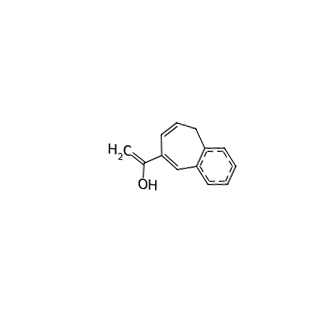 C=C(O)C1=Cc2ccccc2CC=C1